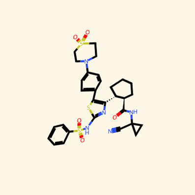 N#CC1(NC(=O)[C@@H]2CCCC[C@H]2c2nc(NS(=O)(=O)c3ccccc3)sc2-c2ccc(N3CCS(=O)(=O)CC3)cc2)CC1